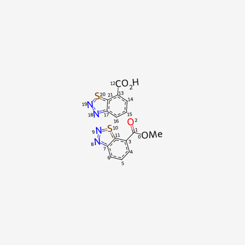 COC(=O)c1cccc2nnsc12.O=C(O)c1cccc2nnsc12